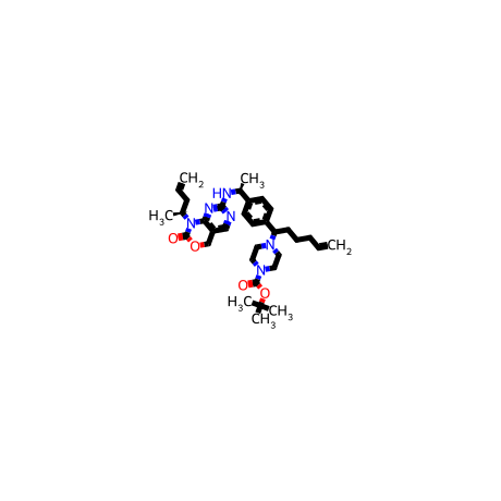 C=CCCCC(c1ccc([C@H](C)Nc2ncc3c(n2)N([C@@H](C)CC=C)C(=O)OC3)cc1)N1CCN(C(=O)OC(C)(C)C)CC1